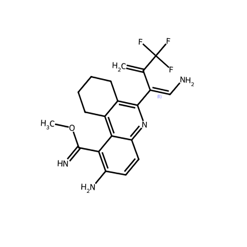 C=C(/C(=C\N)c1nc2ccc(N)c(C(=N)OC)c2c2c1CCCC2)C(F)(F)F